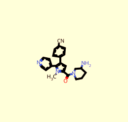 Cn1c(C(=O)N2CCCC(N)C2)cc(-c2ccc(C#N)cc2)c1-c1ccncc1